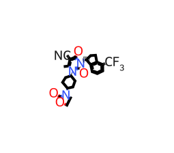 Cc1c(C#N)c(=O)n([C@@H]2CCc3c2cccc3C(F)(F)F)c(=O)n1[C@H]1CC[C@H](N2CCOC2=O)CC1